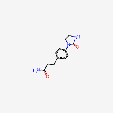 NC(=O)CCc1ccc(N2CCNC2=O)cc1